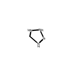 C1N[N]NN1